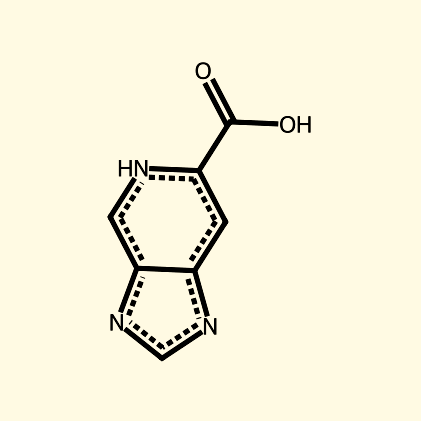 O=C(O)c1cc2ncnc-2c[nH]1